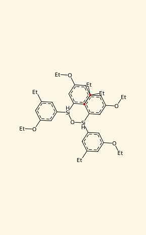 CCOc1cc(CC)cc([SiH](O[SiH](c2cc(CC)cc(OCC)c2)c2cc(CC)cc(OCC)c2)c2cc(CC)cc(OCC)c2)c1